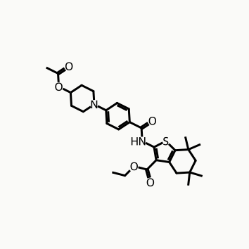 CCOC(=O)c1c(NC(=O)c2ccc(N3CCC(OC(C)=O)CC3)cc2)sc2c1CC(C)(C)CC2(C)C